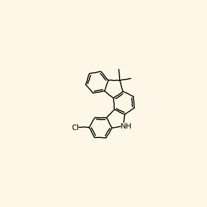 CC1(C)c2ccccc2-c2c1ccc1[nH]c3ccc(Cl)cc3c21